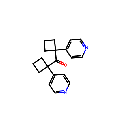 O=C(C1(c2ccncc2)CCC1)C1(c2ccncc2)CCC1